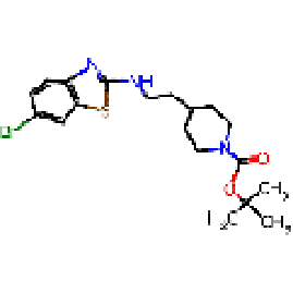 CC(C)(C)OC(=O)N1CCC(CCNc2nc3ccc(Br)cc3s2)CC1